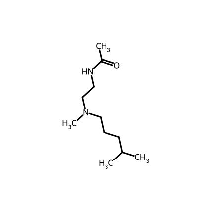 CC(=O)NCCN(C)CCCC(C)C